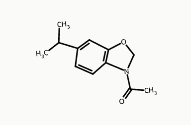 CC(=O)N1COc2cc(C(C)C)ccc21